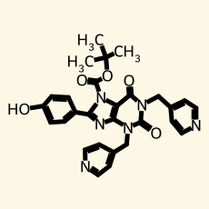 CC(C)(C)OC(=O)n1c(-c2ccc(O)cc2)nc2c1c(=O)n(Cc1ccncc1)c(=O)n2Cc1ccncc1